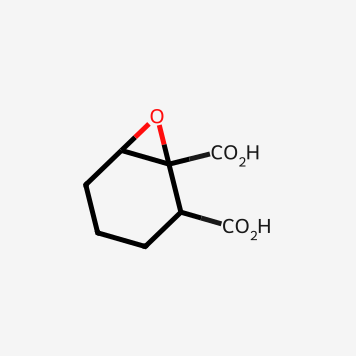 O=C(O)C1CCCC2OC21C(=O)O